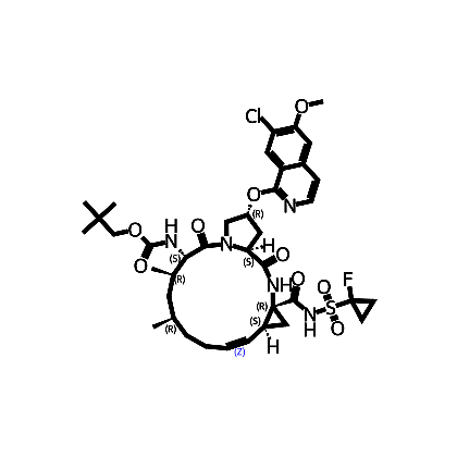 COc1cc2ccnc(O[C@@H]3C[C@H]4C(=O)N[C@]5(C(=O)NS(=O)(=O)C6(F)CC6)C[C@H]5/C=C\CC[C@@H](C)C[C@@H](C)[C@H](NC(=O)OCC(C)(C)C)C(=O)N4C3)c2cc1Cl